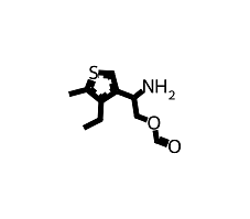 CCc1c(C(N)COC=O)csc1C